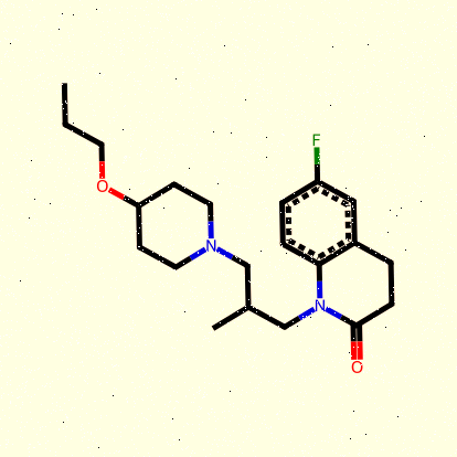 CCCOC1CCN(CC(C)CN2C(=O)CCc3cc(F)ccc32)CC1